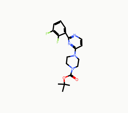 CC(C)(C)OC(=O)N1CCN(c2ccnc(-c3cccc(F)c3F)n2)CC1